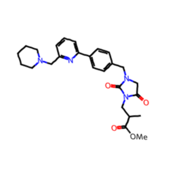 COC(=O)C(C)CN1C(=O)CN(Cc2ccc(-c3cccc(CN4CCCCC4)n3)cc2)C1=O